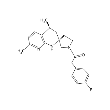 Cc1ccc2c(n1)N[C@]1(CCN(C(=O)Cc3ccc(F)cc3)C1)C[C@@H]2C